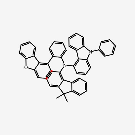 CC1(C)c2ccccc2-c2c(N(c3ccccc3-c3cccc4oc5ccccc5c34)c3cccc4c3c3ccccc3n4-c3ccccc3)cccc21